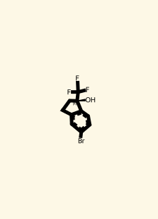 O[C@]1(C(F)(F)F)CCc2cc(Br)ccc21